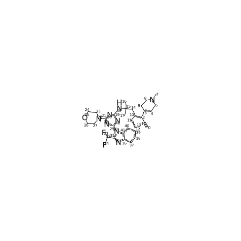 C#C/C(C1=CCN(C)CC1)=C(\C=C/C)CC(C)(C)Nc1nc(N2CCOCC2)nc(-n2c(C(F)F)nc3ccccc32)n1